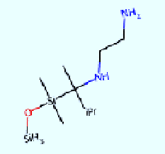 CC(C)C(C)(NCCN)[Si](C)(C)O[SiH3]